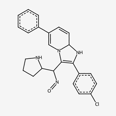 O=NC(C1=C(c2ccc(Cl)cc2)NC2C=CC(c3ccccc3)=CN12)C1CCCN1